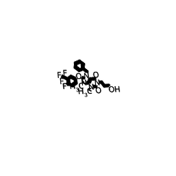 CN1c2c(c(=O)n(CCCO)c(=O)n2C)N(Cc2ccccc2)C1Oc1ccc(F)c(C(F)(F)F)c1